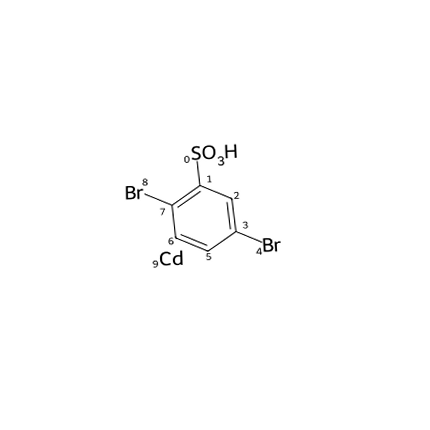 O=S(=O)(O)c1cc(Br)ccc1Br.[Cd]